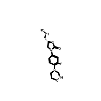 O=C1O[C@@H](CPO)CN1c1ccc(N2CCONC2)c(F)c1